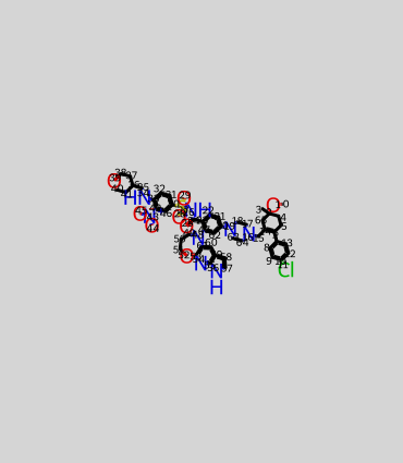 COC1(C)CCC(c2ccc(Cl)cc2)=C(CN2CCN(c3ccc(C(=O)NS(=O)(=O)c4ccc(NCC5CCOCC5)c([N+](=O)[O-])c4)c(N4CCCOc5nc6[nH]ccc6cc54)c3)CC2)C1